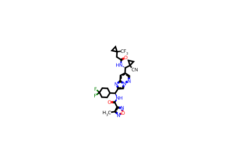 Cc1nonc1C(=O)N[C@H](c1cn2ncc([C@H](NC(=O)CC3(C(F)(F)F)CC3)C3(C#N)CC3)cc2n1)C1CCC(F)(F)CC1